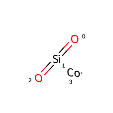 O=[Si]=O.[Co]